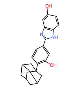 Oc1ccc2[nH]c(-c3ccc(C45CC6CC(CC(C6)C4)C5)c(O)c3)nc2c1